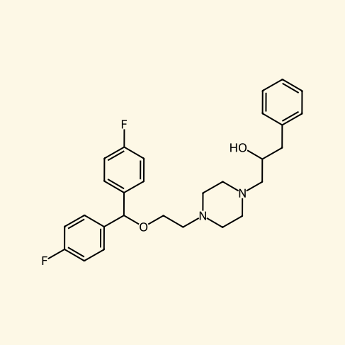 OC(Cc1ccccc1)CN1CCN(CCOC(c2ccc(F)cc2)c2ccc(F)cc2)CC1